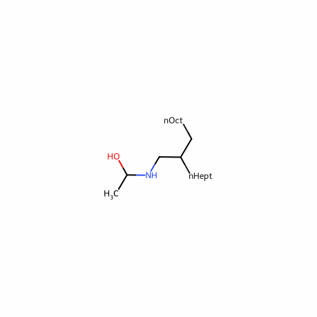 CCCCCCCCCC(CCCCCCC)CNC(C)O